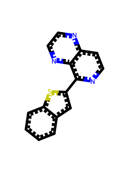 c1ccc2sc(-c3nccc4nccnc34)cc2c1